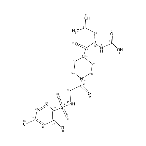 CC(C)C[C@H](NC(=O)O)C(=O)N1CCN(C(=O)CNS(=O)(=O)c2ccc(Cl)cc2Cl)CC1